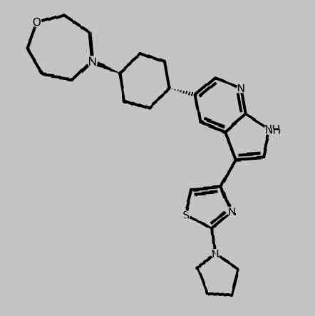 c1sc(N2CCCC2)nc1-c1c[nH]c2ncc([C@H]3CC[C@H](N4CCCOCC4)CC3)cc12